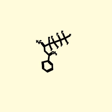 C=C(CC(=C)C(F)(F)C(F)(F)C(F)(F)C(F)(F)F)c1ccccc1